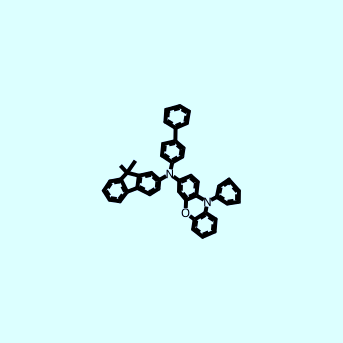 CC1(C)c2ccccc2-c2ccc(N(c3ccc(-c4ccccc4)cc3)c3ccc4c(c3)Oc3ccccc3N4c3ccccc3)cc21